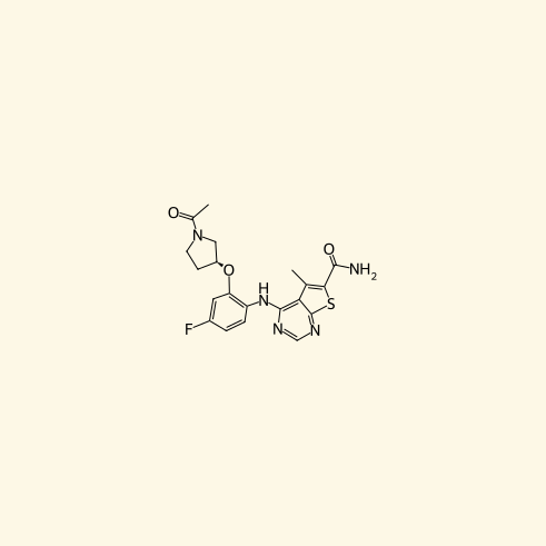 CC(=O)N1CC[C@H](Oc2cc(F)ccc2Nc2ncnc3sc(C(N)=O)c(C)c23)C1